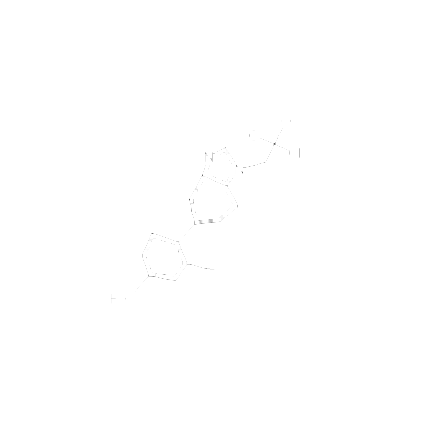 CC(C)(O)Cn1cnc2cc(-c3ccc(C(F)(F)F)cc3F)ccc21